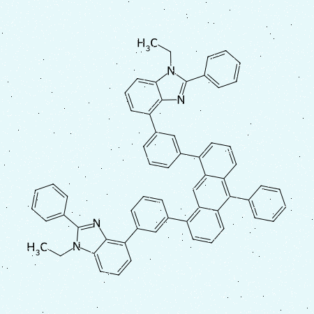 CCn1c(-c2ccccc2)nc2c(-c3cccc(-c4cccc5c(-c6ccccc6)c6cccc(-c7cccc(-c8cccc9c8nc(-c8ccccc8)n9CC)c7)c6cc45)c3)cccc21